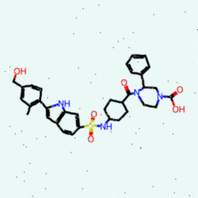 Cc1cc(CO)ccc1-c1cc2ccc(S(=O)(=O)NC3CCC(C(=O)N4CCN(C(=O)O)CC4c4ccccc4)CC3)cc2[nH]1